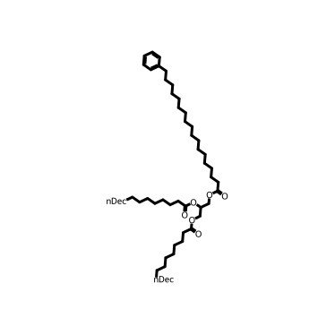 CCCCCCCCCCCCCCCCCC(=O)OCC(COC(=O)CCCCCCCCCCCCCCCCCc1ccccc1)OC(=O)CCCCCCCCCCCCCCCCC